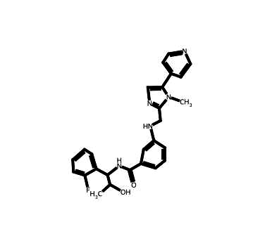 CC(O)C(NC(=O)c1cccc(NCc2ncc(-c3ccncc3)n2C)c1)c1ccccc1F